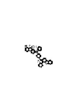 CC1(C)c2ccccc2-c2ccc(N(c3ccccc3)c3ccc(-c4nc5ccccc5c5c4ccc4c6ccccc6sc45)cc3)cc21